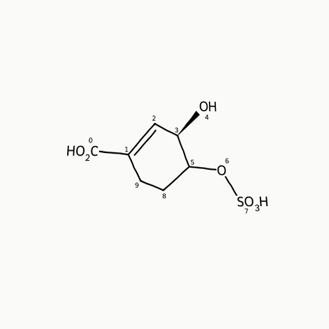 O=C(O)C1=C[C@@H](O)C(OS(=O)(=O)O)CC1